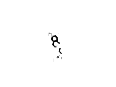 CNc1ccc2c(c1)CCN(CCCN(C)C(=O)O)C2=O